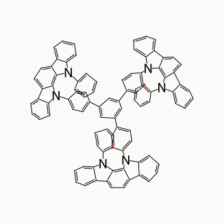 c1ccc(-n2c3ccccc3c3ccc4c5ccccc5n(-c5ccc(-c6cc(-c7ccc(-n8c9ccccc9c9ccc%10c%11ccccc%11n(-c%11ccccc%11)c%10c98)cc7)cc(-c7ccc(-n8c9ccccc9c9ccc%10c%11ccccc%11n(-c%11ccccc%11)c%10c98)cc7)c6)cc5)c4c32)cc1